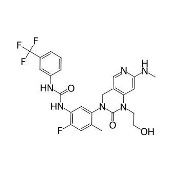 CNc1cc2c(cn1)CN(c1cc(NC(=O)Nc3cccc(C(F)(F)F)c3)c(F)cc1C)C(=O)N2CCO